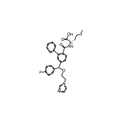 CSCC[C@H](NC(=O)c1ccc(C(OCCn2ccnc2)c2ccc(F)cc2)cc1-c1ccccc1)C(=O)O